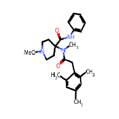 CON1CCC(C(=O)Nc2ccccc2)(N(C)C(=O)Cc2c(C)cc(C)cc2C)CC1